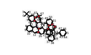 CC(C)(C)c1cc(-c2cccc3cccc(-c4ccccc4N(c4ccccc4-c4cccc5c4c4ccccc4n5-c4ccccc4)c4cccc5oc6ccccc6c45)c23)cc(C(C)(C)C)c1